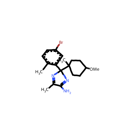 COC1CCC(C)(C2(c3cc(Br)ccc3C)N=C(C)C(N)=N2)CC1